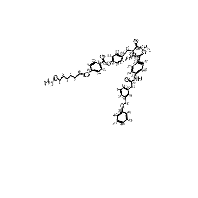 CCCCCCCOc1ccc(C(=O)Oc2ccc(C[C@H](NC(=O)c3ccc(NC(=O)Cc4cccc(COc5ccccc5)c4)cc3)C(C)=O)cc2)cc1